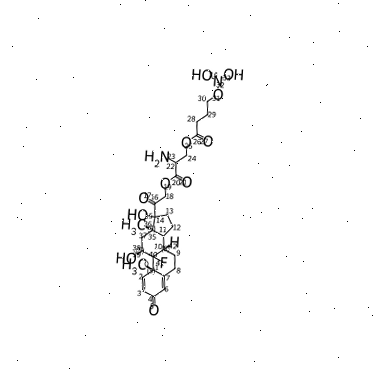 C[C@]12C=CC(=O)C=C1CC[C@H]1C3CCC(O)(C(=O)COC(=O)C(N)COC(=O)CCCON(O)O)[C@@]3(C)C[C@H](O)C12F